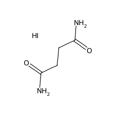 I.NC(=O)CCC(N)=O